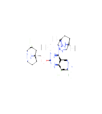 O=C(O)N1[C@@H]2CC[C@H]1CN(c1nc(OC[C@@]34CCCN3C[C@H](F)C4)nc3c(F)c(Cl)ncc13)C2